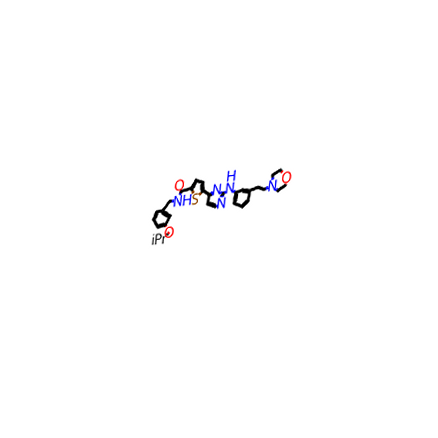 CC(C)Oc1cccc(CNC(=O)c2ccc(-c3ccnc(Nc4cccc(CCN5CCOCC5)c4)n3)s2)c1